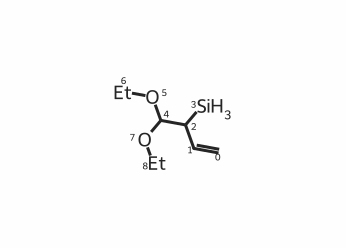 C=CC([SiH3])C(OCC)OCC